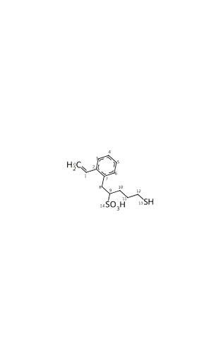 C=Cc1ccccc1CC(CCCS)S(=O)(=O)O